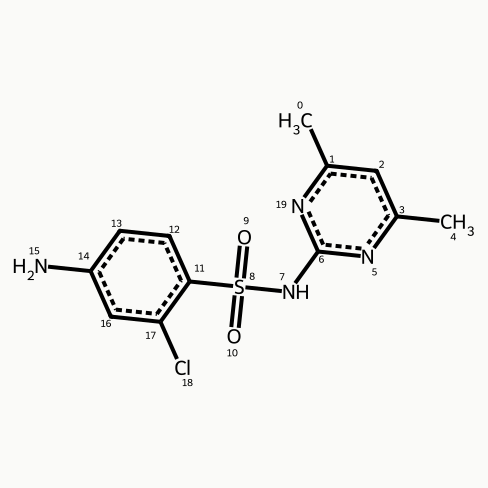 Cc1cc(C)nc(NS(=O)(=O)c2ccc(N)cc2Cl)n1